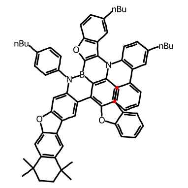 CCCCc1ccc(N2B3c4oc5ccc(CCCC)cc5c4N(c4ccc(CCCC)cc4-c4ccccc4)c4cc5c(oc6ccccc65)c(c43)-c3cc4c(cc32)oc2cc3c(cc24)C(C)(C)CCC3(C)C)cc1